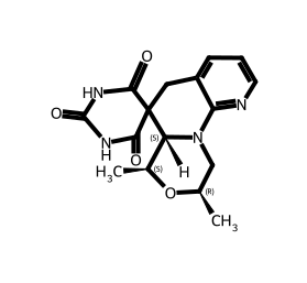 C[C@@H]1CN2c3ncccc3CC3(C(=O)NC(=O)NC3=O)[C@H]2[C@H](C)O1